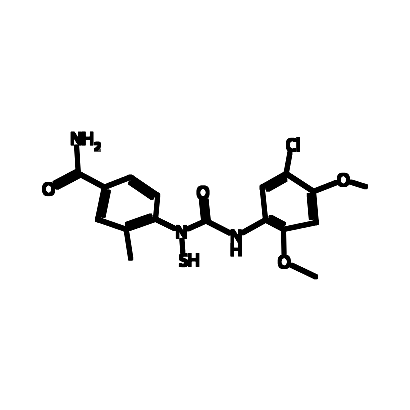 COc1cc(OC)c(NC(=O)N(S)c2ccc(C(N)=O)cc2C)cc1Cl